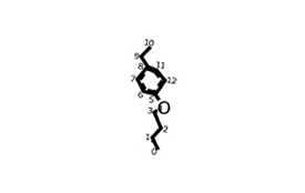 C[CH]CCOc1ccc(CC)cc1